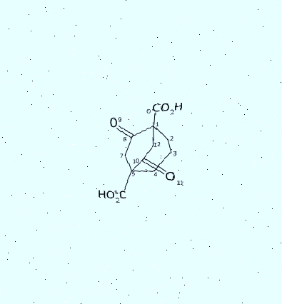 O=C(O)C12CCCC(C(=O)O)(CC1=O)C(=O)C2